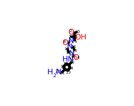 CC(=O)C1(O)CN(C(=O)N2CCN(C(=O)NCc3ccc(CN)cc3)CC2)C1